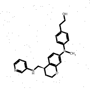 CN(c1ccc(CCO)cc1)c1ccc2c(c1)OCC[C@H]2CNc1cccnc1